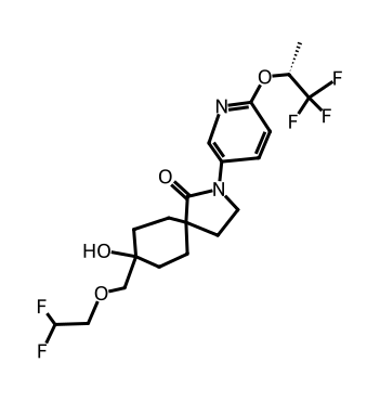 C[C@@H](Oc1ccc(N2CCC3(CCC(O)(COCC(F)F)CC3)C2=O)cn1)C(F)(F)F